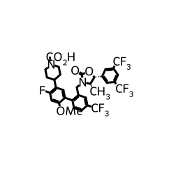 COc1cc(F)c(C2CCN(C(=O)O)CC2)cc1-c1ccc(C(F)(F)F)cc1CN1C(=O)O[C@H](c2cc(C(F)(F)F)cc(C(F)(F)F)c2)[C@@H]1C